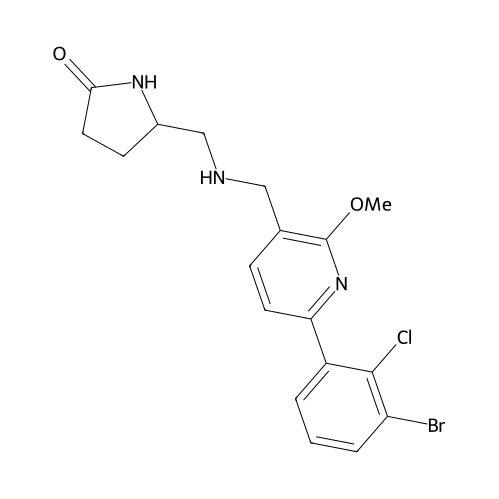 COc1nc(-c2cccc(Br)c2Cl)ccc1CNCC1CCC(=O)N1